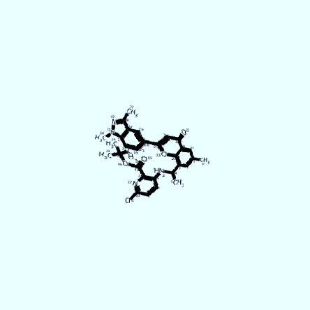 Cc1cc(C(C)Nc2ccc(Cl)nc2C(=O)OC(C)(C)C)c2oc(-c3ccc4c(c3)c(C)nn4C)cc(=O)c2c1